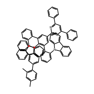 Cc1ccc(-c2ccc3c(c2)c2ccccc2n3-c2c(-c3ccccc3-n3c4ccccc4c4ccccc43)cc(-c3nc(-c4ccccc4)cc(-c4ccccc4)n3)cc2-c2ccccc2-n2c3ccccc3c3ccccc32)c(C)c1